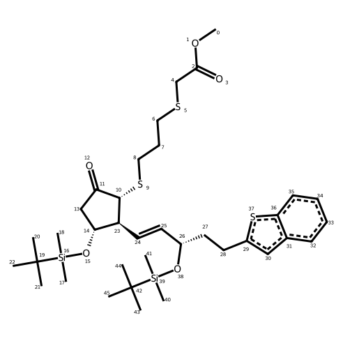 COC(=O)CSCCCS[C@H]1C(=O)C[C@@H](O[Si](C)(C)C(C)(C)C)[C@@H]1/C=C/[C@H](CCc1cc2ccccc2s1)O[Si](C)(C)C(C)(C)C